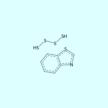 SSSS.c1ccc2scnc2c1